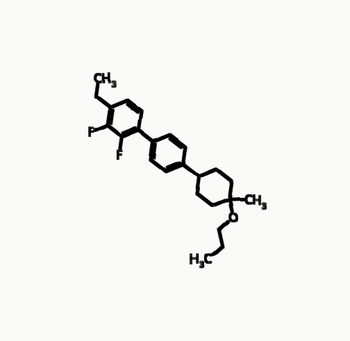 CCCOC1(C)CCC(c2ccc(-c3ccc(CC)c(F)c3F)cc2)CC1